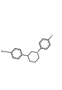 COc1ccc(C2CCCN(c3ccc(F)cc3)C2)cc1